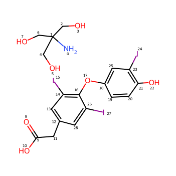 NC(CO)(CO)CO.O=C(O)Cc1cc(I)c(Oc2ccc(O)c(I)c2)c(I)c1